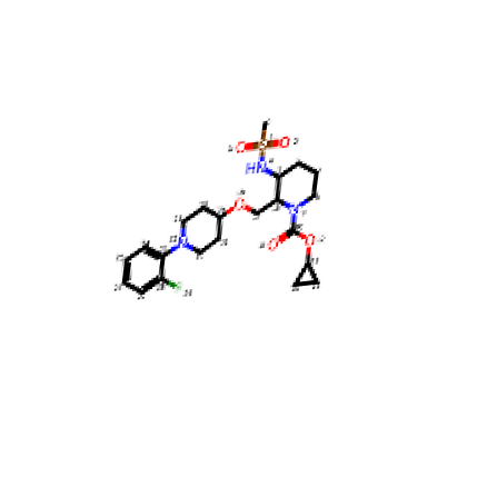 CS(=O)(=O)NC1CCCN(C(=O)OC2CC2)C1COC1CCN(c2ccccc2F)CC1